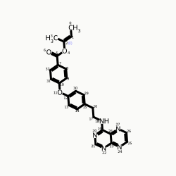 C/C=C(\C)OC(=O)c1ccc(Oc2ccc(CCNc3ncnc4nccnc34)cc2)cc1